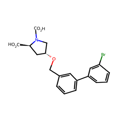 O=C(O)[C@@H]1C[C@@H](OCc2cccc(-c3cccc(Br)c3)c2)CN1C(=O)O